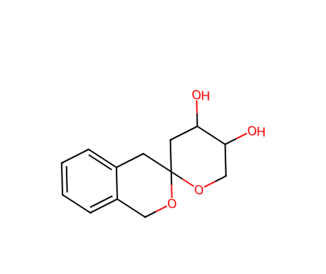 OC1COC2(Cc3ccccc3CO2)CC1O